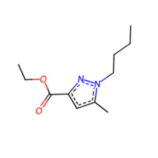 CCCCn1nc(C(=O)OCC)cc1C